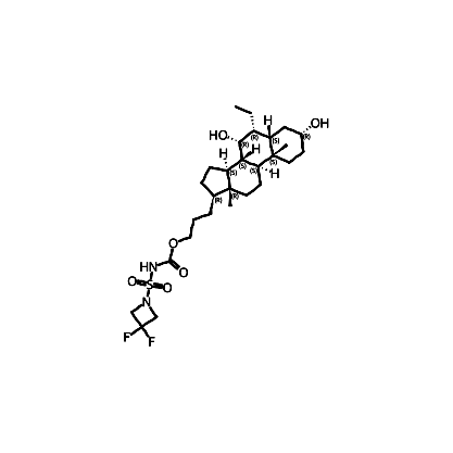 CC[C@H]1[C@@H](O)[C@@H]2[C@H](CC[C@]3(C)[C@@H](CCCOC(=O)NS(=O)(=O)N4CC(F)(F)C4)CC[C@@H]23)[C@@]2(C)CC[C@@H](O)C[C@@H]12